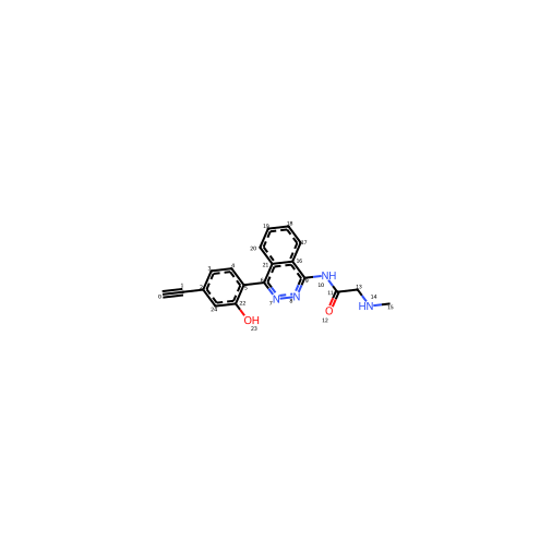 C#Cc1ccc(-c2nnc(NC(=O)CNC)c3ccccc23)c(O)c1